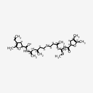 C=CC1=C(C)OC(C(=O)NC(=C)SC(=C)CCSCCC(=C)S/C(=N\C)NC(=O)C2CC(C)=C(C)O2)C1